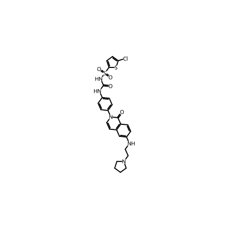 O=C(Nc1ccc(-n2ccc3cc(NCCN4CCCC4)ccc3c2=O)cc1)NS(=O)(=O)c1ccc(Cl)s1